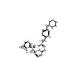 O=C(C[C@@H]1C(=O)NC=CN1S(=O)(=O)c1cccc(Cl)c1Cl)NCc1ccc(CN2CCCCC2)cc1